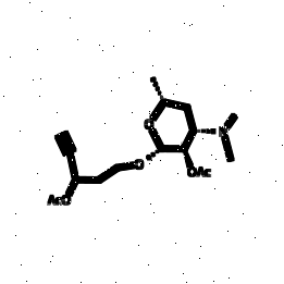 C#CC(CCO[C@@H]1O[C@H](C)C[C@H](N(C)C)[C@H]1OC(C)=O)OC(C)=O